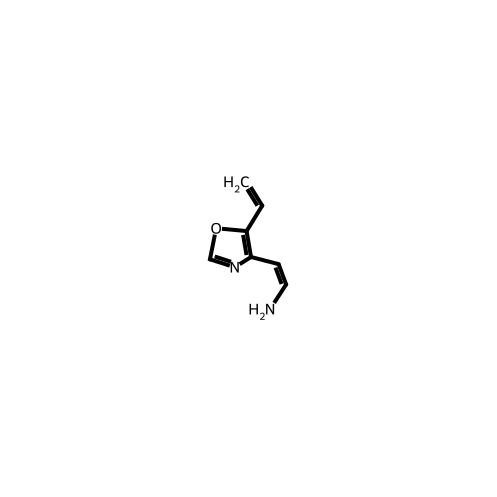 C=Cc1ocnc1/C=C\N